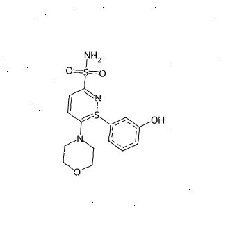 NS(=O)(=O)C1=NS(c2cccc(O)c2)=C(N2CCOCC2)C=C1